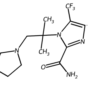 CC(C)(CN1CCCC1)n1c(C(F)(F)F)[c]nc1C(N)=O